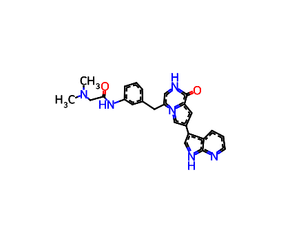 CN(C)CC(=O)Nc1cccc(Cc2c[nH]c(=O)c3cc(-c4c[nH]c5ncccc45)cn23)c1